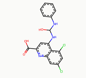 O=C(O)c1cc(NC(O)Nc2ccccc2)c2c(Cl)cc(Cl)cc2n1